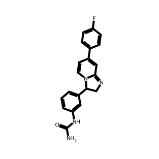 NC(=O)Nc1cccc(C2CN=C3C=C(c4ccc(F)cc4)C=CN32)c1